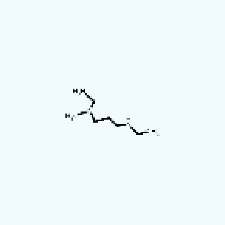 CCNCCCN(C)CN